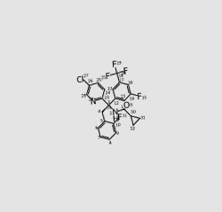 O=C(N[C@@](Cc1ccccc1F)(c1cc(F)cc(C(F)(F)F)c1)c1ccc(Cl)cn1)C1CC1